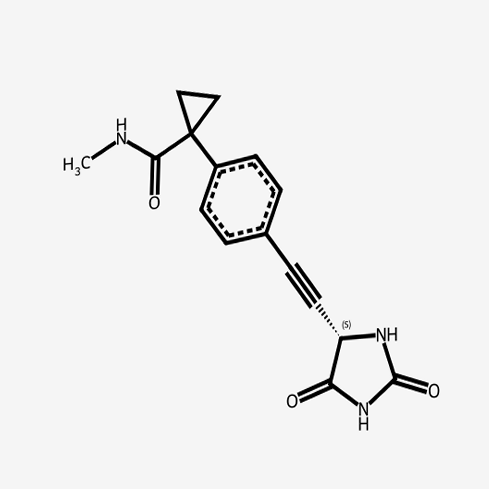 CNC(=O)C1(c2ccc(C#C[C@@H]3NC(=O)NC3=O)cc2)CC1